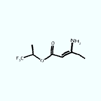 C/C(N)=C/C(=O)OC(C)C(F)(F)F